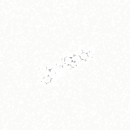 Cc1nc(N2CCC3(CC2)Cc2ccccc2[C@H]3N)n2ccnc2c1Sc1cccc(Cl)c1Cl